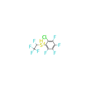 Fc1c(F)c(F)c([SH4]C(F)C(F)(F)F)c(Cl)c1F